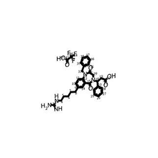 N=C(N)NCCCCCc1ccc2c(c1)C(=O)N(C(CC(=O)O)c1ccccc1)CC(=O)N2Cc1ccccc1.O=C(O)C(F)(F)F